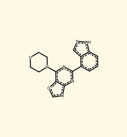 c1cc(-c2nc(N3CCOCC3)c3ocnc3n2)c2cn[nH]c2c1